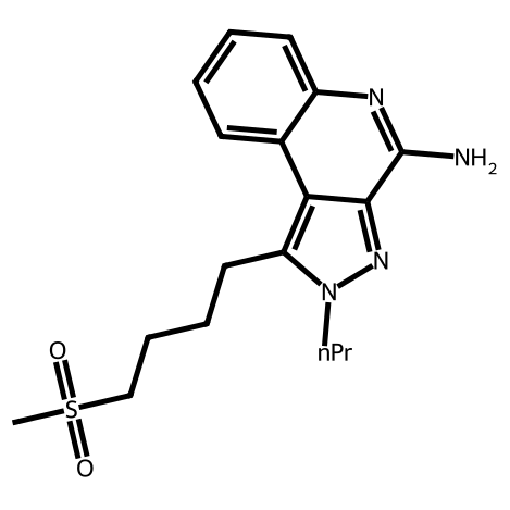 CCCn1nc2c(N)nc3ccccc3c2c1CCCCS(C)(=O)=O